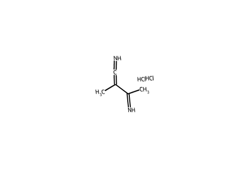 CC(=N)C(C)=C=N.Cl.Cl